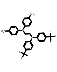 Cc1ccc(N(CCN(c2ccc(C(F)(F)F)cc2)c2ccc(C(F)(F)F)cc2)c2ccc(C)cc2)cc1